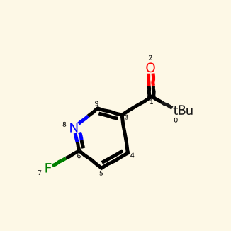 CC(C)(C)C(=O)c1ccc(F)nc1